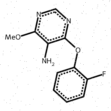 COc1ncnc(Oc2ccccc2F)c1N